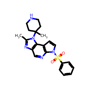 Cc1nc2cnc3c(ccn3S(=O)(=O)c3ccccc3)c2n1C1(C)CCNCC1